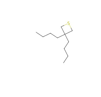 CCCCC1(CCCC)CSC1